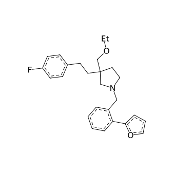 CCOCC1(CCc2ccc(F)cc2)CCN(Cc2ccccc2-c2ccco2)C1